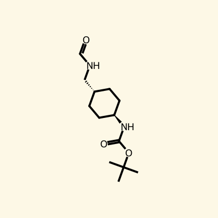 CC(C)(C)OC(=O)N[C@H]1CC[C@H](CNC=O)CC1